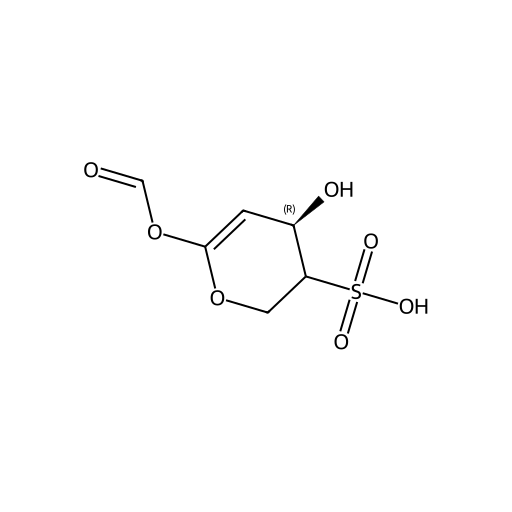 O=COC1=C[C@@H](O)C(S(=O)(=O)O)CO1